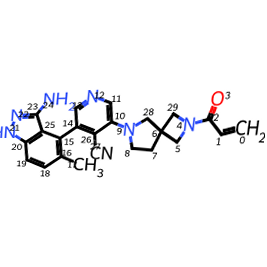 C=CC(=O)N1CC2(CCN(c3cncc(-c4c(C)ccc5[nH]nc(N)c45)c3C#N)C2)C1